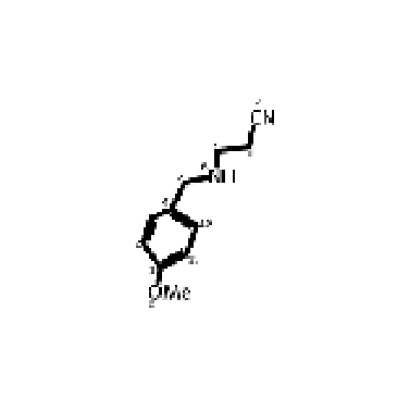 COc1ccc(CNCCC#N)cc1